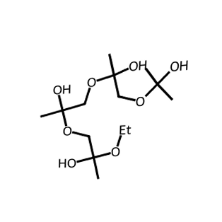 CCOC(C)(O)COC(C)(O)COC(C)(O)COC(C)(C)O